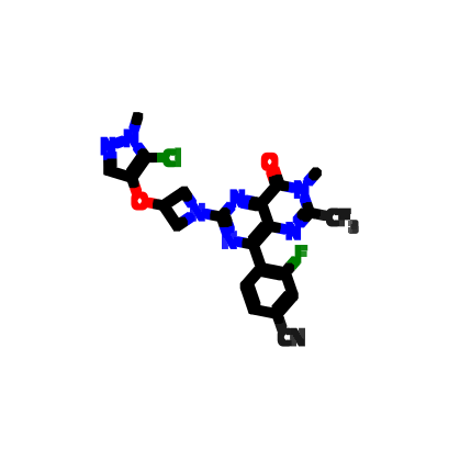 Cn1ncc(OC2CN(c3nc(-c4ccc(C#N)cc4F)c4nc(C(F)(F)F)n(C)c(=O)c4n3)C2)c1Cl